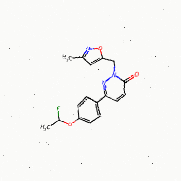 Cc1cc(Cn2nc(-c3ccc(OC(C)F)cc3)ccc2=O)on1